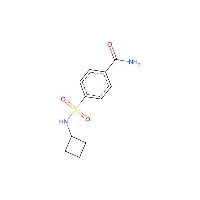 NC(=O)c1ccc(S(=O)(=O)NC2CCC2)cc1